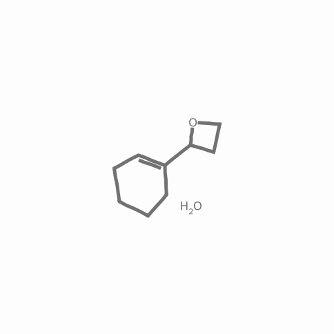 C1=C(C2CCO2)CCCC1.O